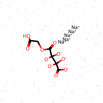 O=C(O)COC(=O)C([O-])([O-])C([O-])([O-])C(=O)[O-].[Na+].[Na+].[Na+].[Na+].[Na+]